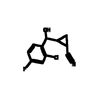 N#CC1CC1C(O)c1ccc(F)cc1Cl